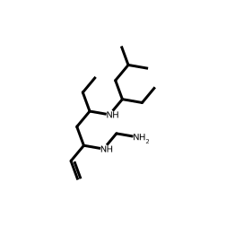 C=CC(CC(CC)NC(CC)CC(C)C)NCN